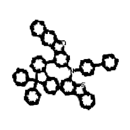 c1ccc(-c2ccc(N(c3cc(-c4cccc5c4-c4ccccc4C5(c4ccccc4)c4ccccc4)c4c(c3)oc3cc5ccccc5cc34)c3cccc4c3sc3ccccc34)cc2)cc1